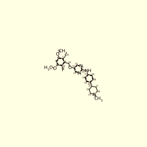 COc1cc(OC)c(F)c(COc2cnc(Nc3ccc(C4CCN(C)CC4)cc3)nc2)c1F